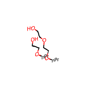 CCCOCCO.CCCOCCOCCO